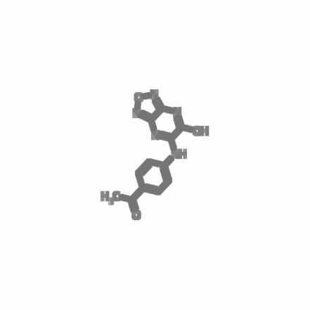 CC(=O)c1ccc(Nc2nc3nonc3nc2O)cc1